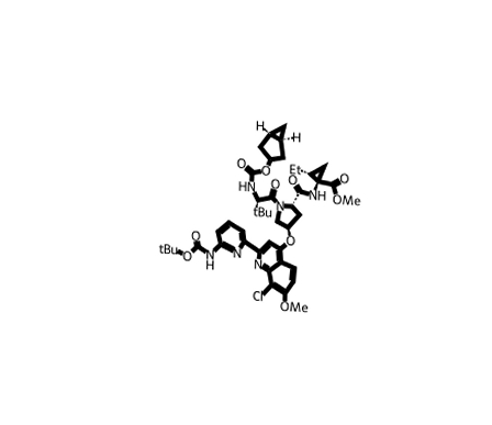 CC[C@@H]1C[C@]1(NC(=O)[C@@H]1C[C@@H](Oc2cc(-c3cccc(NC(=O)OC(C)(C)C)n3)nc3c(Cl)c(OC)ccc23)CN1C(=O)[C@@H](NC(=O)OC1C[C@@H]2C[C@@H]2C1)C(C)(C)C)C(=O)OC